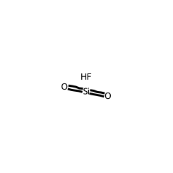 F.O=[Si]=O